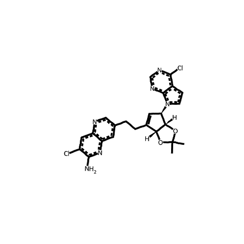 CC1(C)O[C@@H]2[C@H](O1)C(CCc1cnc3cc(Cl)c(N)nc3c1)=C[C@H]2n1ccc2c(Cl)ncnc21